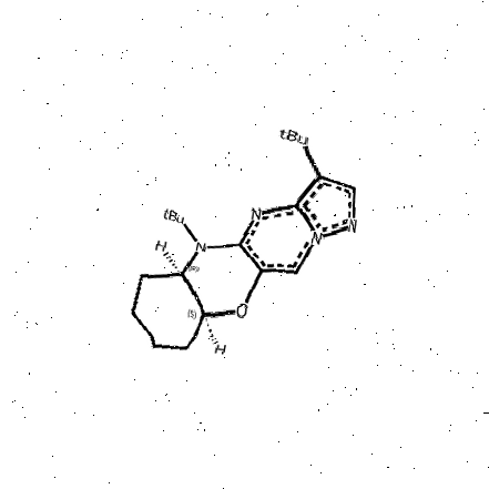 CC(C)(C)c1cnn2cc3c(nc12)N(C(C)(C)C)[C@@H]1CCCC[C@@H]1O3